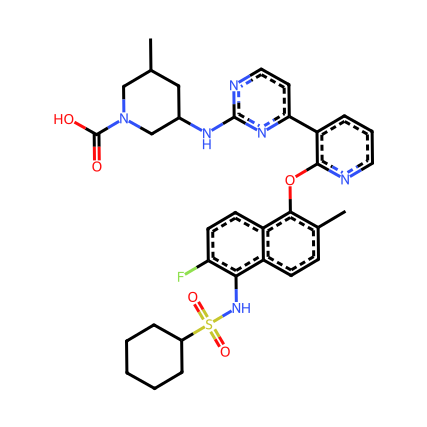 Cc1ccc2c(NS(=O)(=O)C3CCCCC3)c(F)ccc2c1Oc1ncccc1-c1ccnc(NC2CC(C)CN(C(=O)O)C2)n1